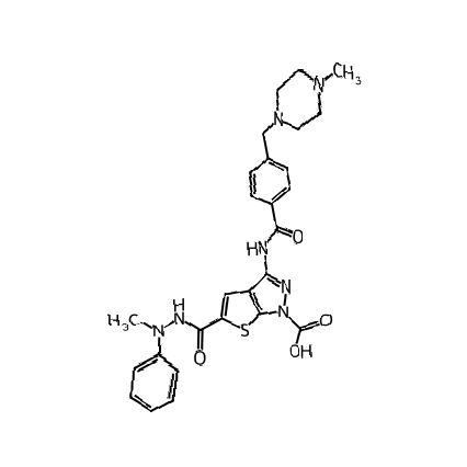 CN1CCN(Cc2ccc(C(=O)Nc3nn(C(=O)O)c4sc(C(=O)NN(C)c5ccccc5)cc34)cc2)CC1